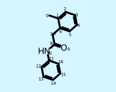 Cc1ccccc1[CH]C(=O)Nc1ccccc1